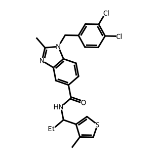 CCC(NC(=O)c1ccc2c(c1)nc(C)n2Cc1ccc(Cl)c(Cl)c1)c1cscc1C